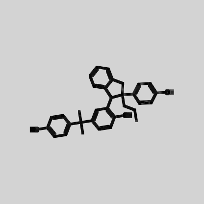 CCCC1(c2ccc(O)cc2)Cc2ccccc2C1c1cc(C(C)(C)c2ccc(O)cc2)ccc1O